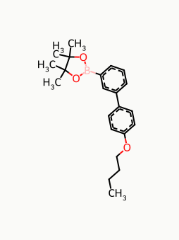 CCCCOc1ccc(-c2cccc(B3OC(C)(C)C(C)(C)O3)c2)cc1